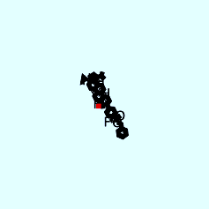 C=C(C)C1CC[C@]2(N3CC3)CC[C@]3(C)[C@H](CC[C@@H]4[C@@]5(C)CC=C(C6=CC[C@@](CF)(C(=O)OCc7ccccc7)CC6)C(C)(C)[C@@H]5CC[C@]43C)[C@@H]12